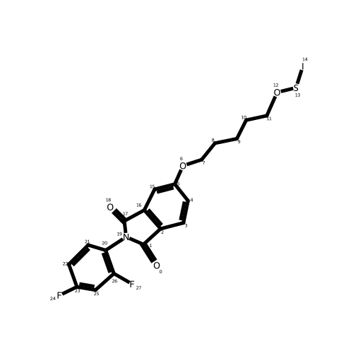 O=C1c2ccc(OCCCCCOSI)cc2C(=O)N1c1ccc(F)cc1F